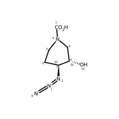 [N-]=[N+]=N[C@H]1CCN(C(=O)O)C[C@@H]1O